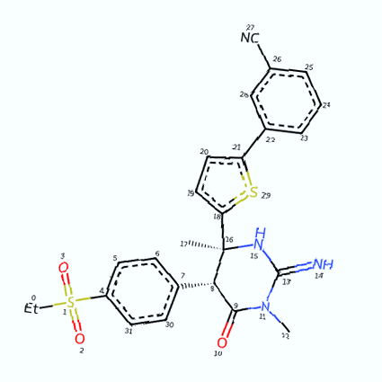 CCS(=O)(=O)c1ccc([C@H]2C(=O)N(C)C(=N)N[C@]2(C)c2ccc(-c3cccc(C#N)c3)s2)cc1